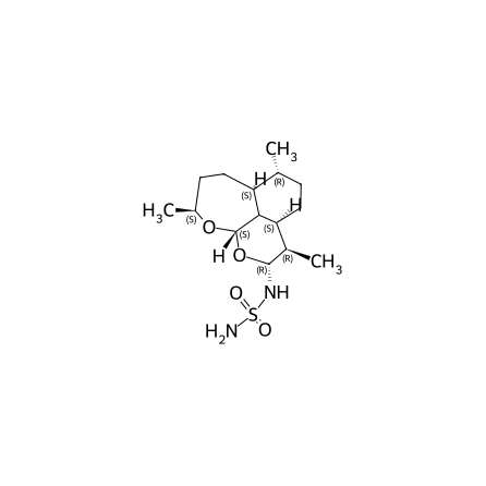 C[C@H]1[C@H](NS(N)(=O)=O)O[C@@H]2O[C@@H](C)CC[C@@H]3C2[C@H]1CC[C@H]3C